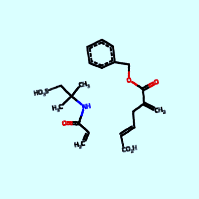 C=C(CC=CC(=O)O)C(=O)OCc1ccccc1.C=CC(=O)NC(C)(C)CS(=O)(=O)O